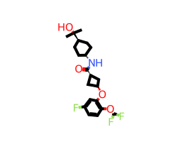 CC(C)(O)[C@H]1CC[C@H](NC(=O)[C@H]2C[C@H](Oc3cc(F)ccc3OC(F)F)C2)CC1